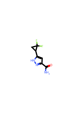 NC(=O)c1cc(C2CC2(F)F)[nH]n1